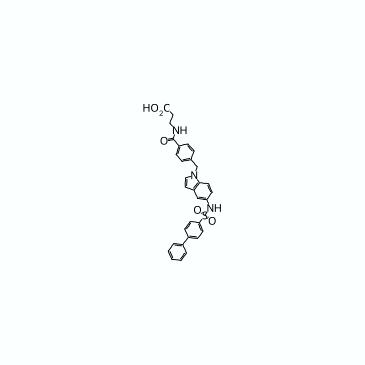 O=C(O)CCNC(=O)c1ccc(Cn2ccc3cc(NS(=O)(=O)c4ccc(-c5ccccc5)cc4)ccc32)cc1